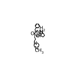 CN1CCCN(CCCNC(=O)[C@@H](Cc2ccccc2)NC(=O)C2(N)CCCC2)CC1